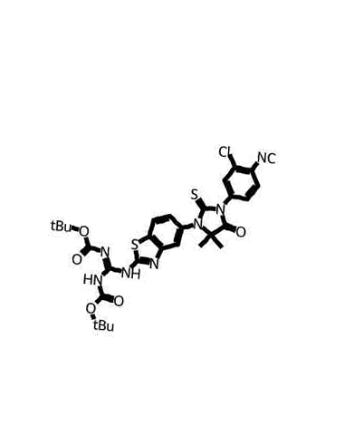 [C-]#[N+]c1ccc(N2C(=O)C(C)(C)N(c3ccc4sc(N/C(=N/C(=O)OC(C)(C)C)NC(=O)OC(C)(C)C)nc4c3)C2=S)cc1Cl